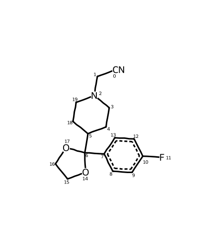 N#CCN1CCC(C2(c3ccc(F)cc3)OCCO2)CC1